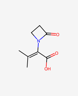 CC(C)=C(C(=O)O)N1CCC1=O